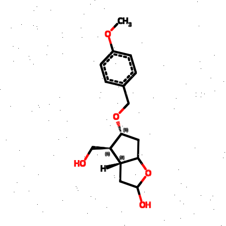 COc1ccc(CO[C@@H]2CC3OC(O)C[C@@H]3[C@H]2CO)cc1